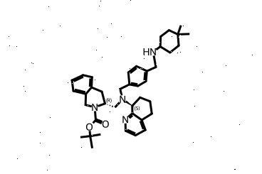 CC1(C)CCC(NCc2ccc(CN(C[C@H]3Cc4ccccc4CN3C(=O)OC(C)(C)C)[C@H]3CCCc4cccnc43)cc2)CC1